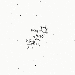 CC(C)(C1CCC1)C1C[C@@H](CO)N(Cc2ccccc2)C1